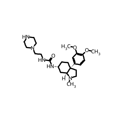 COc1ccc([C@@]23CC[C@@H](NC(=O)NCCN4CCNCC4)C[C@@H]2N(C)CC3)cc1OC